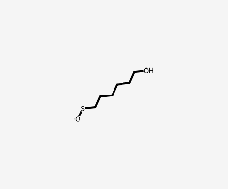 [O]SCCCCCCO